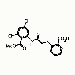 COC(=O)c1c(Cl)cc(Cl)cc1NC(=O)CSc1ccccc1C(=O)O